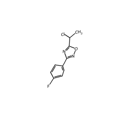 CC(Cl)c1nc(-c2ccc(F)cc2)no1